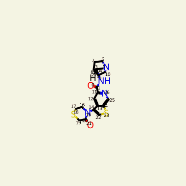 O=C(N[C@H]1CN2CCC1CC2)c1cc2c(N3CCSCC3=O)csc2cn1